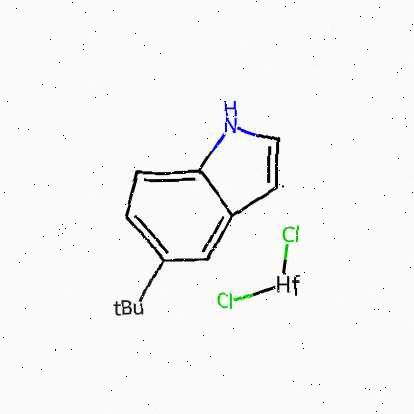 CC(C)(C)c1ccc2[nH]c[c]c2c1.[Cl][Hf][Cl]